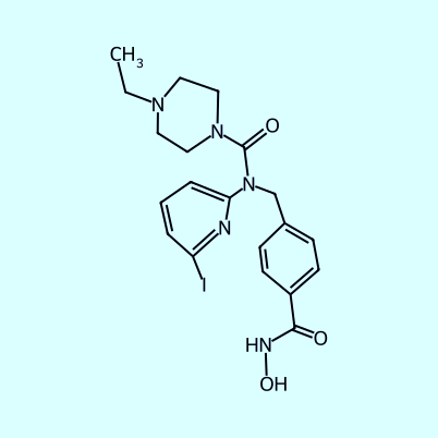 CCN1CCN(C(=O)N(Cc2ccc(C(=O)NO)cc2)c2cccc(I)n2)CC1